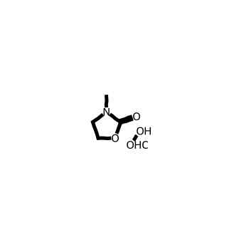 CN1CCOC1=O.O=CO